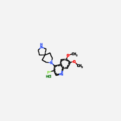 COc1cc2ncc(F)c(N3CCC4(CCNC4)CC3)c2cc1OC.Cl